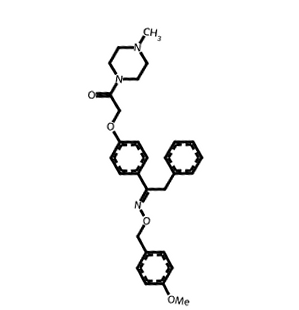 COc1ccc(CO/N=C(\Cc2ccccc2)c2ccc(OCC(=O)N3CCN(C)CC3)cc2)cc1